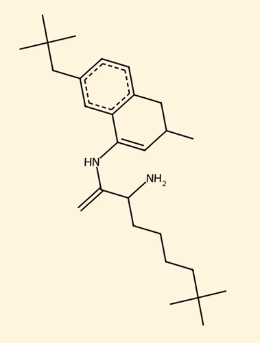 C=C(NC1=CC(C)Cc2ccc(CC(C)(C)C)cc21)C(N)CCCCC(C)(C)C